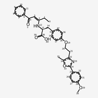 CCC(=CC(=O)c1ccccc1)N[C@@H](Cc1ccc(OCCc2nc(-c3ccc(OC)cc3)oc2C)cc1)C(=O)O